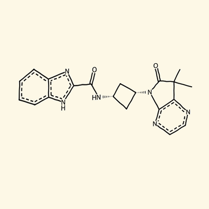 CC1(C)C(=O)N([C@H]2C[C@@H](NC(=O)c3nc4ccccc4[nH]3)C2)c2nccnc21